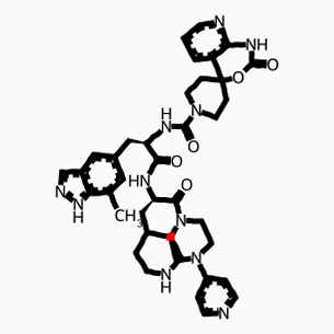 Cc1cc(C[C@@H](NC(=O)N2CCC3(CC2)OC(=O)Nc2ncccc23)C(=O)N[C@H](CC2CCNCC2)C(=O)N2CCN(c3ccncc3)CC2)cc2cn[nH]c12